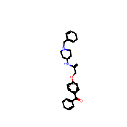 C=C(COc1ccc(C(=O)C2=CCCC=C2)cc1)NC1CCN(CC2=CCCC=C2)CC1